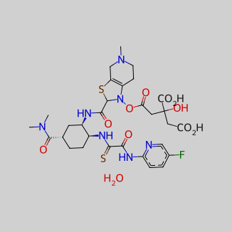 CN1CCC2=C(C1)SC(C(=O)N[C@@H]1C[C@@H](C(=O)N(C)C)CC[C@@H]1NC(=S)C(=O)Nc1ccc(F)cn1)N2OC(=O)CC(O)(CC(=O)O)C(=O)O.O